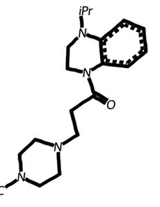 CC(C)N1CCN(C(=O)CCN2CCN(C)CC2)c2ccccc21